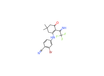 CC1(C)CC(=O)C(C(=N)C(F)(F)F)=C(Nc2ccc(C#N)c(Br)c2)C1